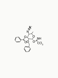 CC1O[C@H](OC(=N)C(Cl)(Cl)Cl)C(OCc2ccccc2)C(OC(=O)c2ccccc2)C1N=[N+]=[N-]